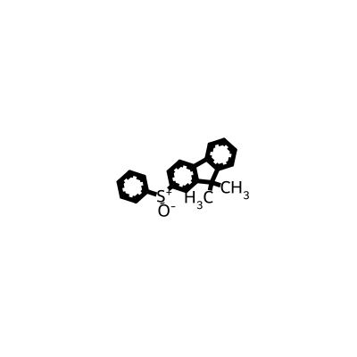 CC1(C)c2ccccc2-c2ccc([S+]([O-])c3ccccc3)cc21